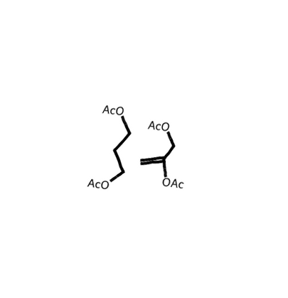 C=C(COC(C)=O)OC(C)=O.CC(=O)OCCCOC(C)=O